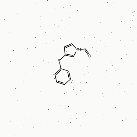 O=C[SH]1C=CC(Sc2ccccc2)=C1